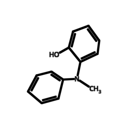 CN(c1ccccc1)c1ccccc1O